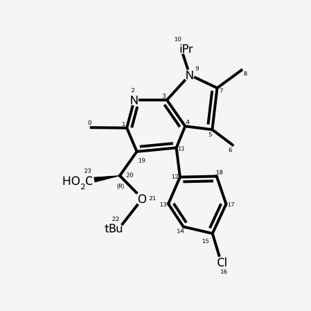 Cc1nc2c(c(C)c(C)n2C(C)C)c(-c2ccc(Cl)cc2)c1[C@@H](OC(C)(C)C)C(=O)O